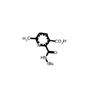 Cc1ccc(C(=O)O)c(C(=O)NC(C)(C)C)n1